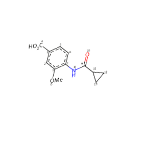 COc1cc(C(=O)O)ccc1NC(=O)C1CC1